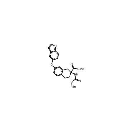 COC(=O)C1(NC(=O)OC(C)(C)C)CCc2ccc(Oc3ccc4occc4c3)cc2C1